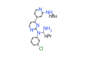 CCCCNc1cc(-c2ccnc(N(c3cccc(Cl)c3)C(N)CCC)n2)ccn1